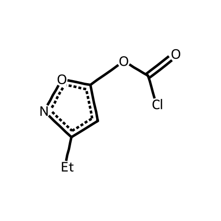 CCc1cc(OC(=O)Cl)on1